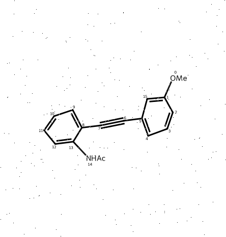 COc1cccc(C#Cc2ccccc2NC(C)=O)c1